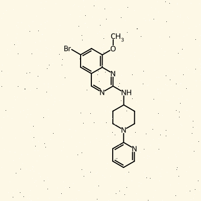 COc1cc(Br)cc2cnc(NC3CCN(c4ccccn4)CC3)nc12